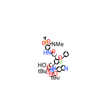 CNCc1cc(NC(=O)C[C@@H](C)c2cc(C(C(=O)O)N(c3ccc4cncc(F)c4c3)N(C(=O)OC(C)(C)C)C(=O)OC(C)(C)C)ccc2OCc2ccccc2)ccc1S(=O)(=O)C1CC1